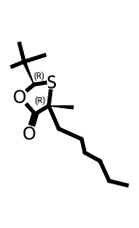 CCCCCC[C@@]1(C)S[C@H](C(C)(C)C)OC1=O